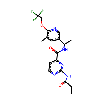 CCC(=O)Nc1nccc(C(=O)NC(C)c2cnc(OCC(F)(F)F)c(C)c2)n1